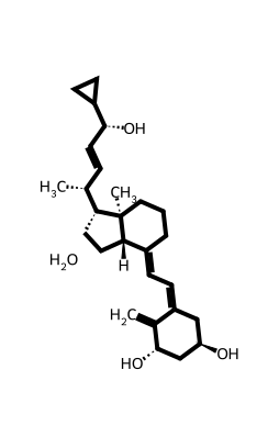 C=C1/C(=C\C=C2/CCC[C@]3(C)[C@@H]([C@H](C)/C=C/[C@@H](O)C4CC4)CC[C@@H]23)C[C@@H](O)C[C@@H]1O.O